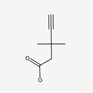 C#CC(C)(C)CC([O])=O